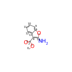 COC(=O)c1c(N)oc2ccccc12